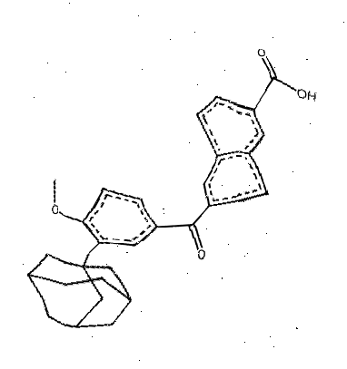 COc1ccc(C(=O)c2ccc3cc(C(=O)O)ccc3c2)cc1C12CC3CC(CC(C3)C1)C2